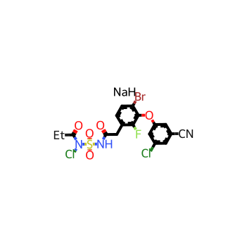 CCC(=O)N(Cl)S(=O)(=O)NC(=O)Cc1ccc(Br)c(Oc2cc(Cl)cc(C#N)c2)c1F.[NaH]